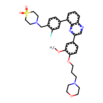 COc1cc(-c2cnc3cccc(-c4ccc(CN5CCS(=O)(=O)CC5)c(F)c4)c3n2)ccc1OCCCN1CCOCC1